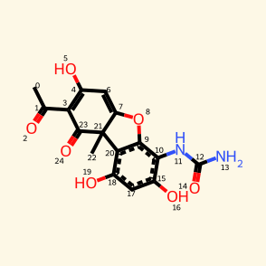 CC(=O)C1=C(O)C=C2Oc3c(NC(N)=O)c(O)cc(O)c3C2(C)C1=O